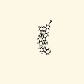 N#Cc1ccc2c(c1)c1ccccc1n2-c1cnc2c(c1)C1(c3ccccc3Sc3ccccc31)c1cc(-n3c4ccccc4c4ccncc43)cnc1-2